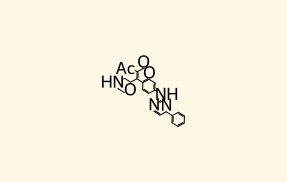 CC(=O)c1c(C2CNCCO2)c2ccc(Nc3nccc(-c4ccccc4)n3)cc2oc1=O